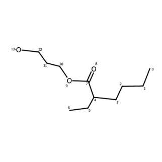 CCCCC(CC)C(=O)OCCC[O]